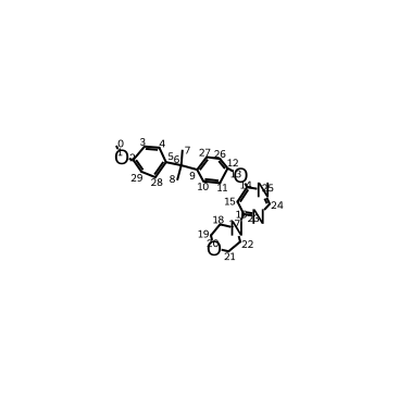 COc1ccc(C(C)(C)c2ccc(Oc3cc(N4CCOCC4)ncn3)cc2)cc1